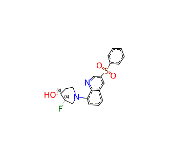 O=S(=O)(c1ccccc1)c1cnc2c(N3CC[C@@H](O)[C@@H](F)C3)cccc2c1